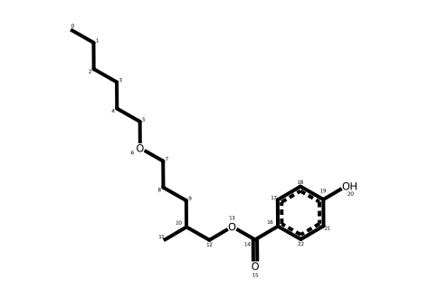 CCCCCCOCCCC(C)COC(=O)c1ccc(O)cc1